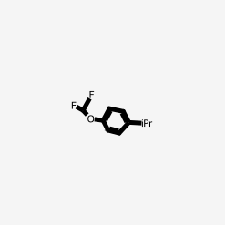 CC(C)c1c[c]c(OC(F)F)cc1